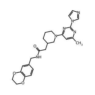 Cc1cc(N2CCCC(CC(=O)NCc3ccc4c(c3)OCCO4)C2)nc(-n2ccnc2)n1